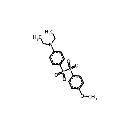 CCN(CC)c1ccc(S(=O)(=O)S(=O)(=O)c2ccc(OC)cc2)cc1